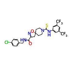 O=C(NCc1ccc(Cl)cc1)C1=NOC2(CCN(C(=S)Nc3cc(C(F)(F)F)cc(C(F)(F)F)c3)CC2)C1